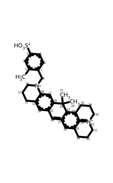 Cc1cc(S(=O)(=O)O)ccc1CN1CCCc2cc3c(cc21)C(C)(C)c1c2c4c(cc1=C3)CCC[N+]=4CCC2